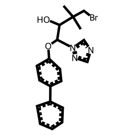 CC(C)(CBr)C(O)C(Oc1ccc(-c2ccccc2)cc1)n1cncn1